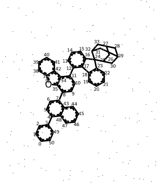 c1ccc(-c2ccc(-c3ccc(-c4cccc5c4-c4ccccc4C54C5CC6CC(C5)CC4C6)c4c3oc3ccccc34)c3ccccc23)cc1